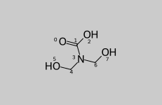 O=C(O)N(CO)CO